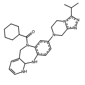 CC(C)c1nnc2n1CCN(c1ccc3c(c1)N(C(=O)C1CCCCC1)CC1=CC=CNC1N3)C2